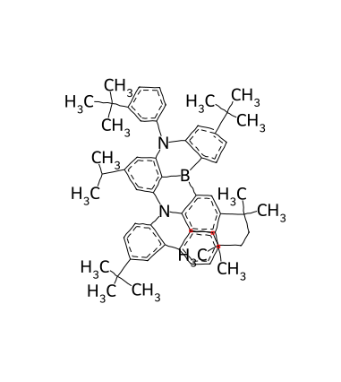 CC(C)c1cc2c3c(c1)N(c1ccc(C(C)(C)C)cc1-c1ccccc1)c1cc4c(cc1B3c1ccc(C(C)(C)C)cc1N2c1cccc(C(C)(C)C)c1)C(C)(C)CCC4(C)C